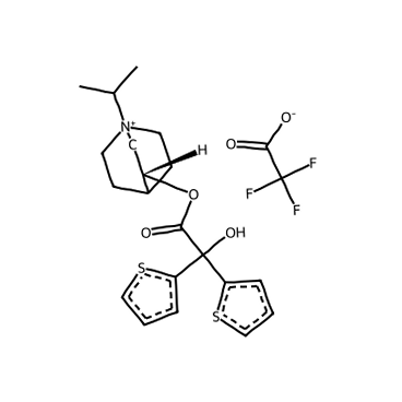 CC(C)[N+]12CCC(CC1)[C@@H](OC(=O)C(O)(c1cccs1)c1cccs1)C2.O=C([O-])C(F)(F)F